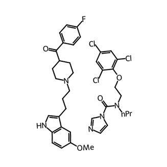 CCCN(CCOc1c(Cl)cc(Cl)cc1Cl)C(=O)n1ccnc1.COc1ccc2[nH]cc(CCCN3CCC(C(=O)c4ccc(F)cc4)CC3)c2c1